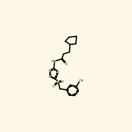 N#Cc1cccc(CS(=O)(=O)c2nnc(NC(=O)CCC3CCCC3)s2)c1